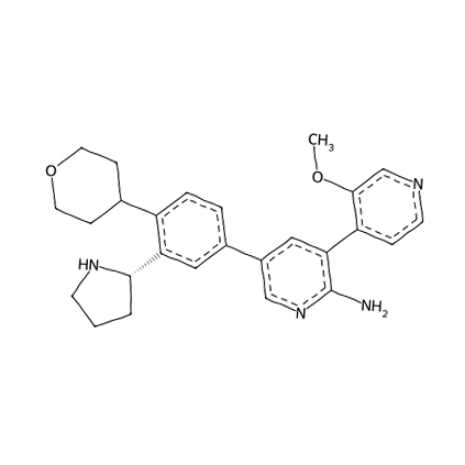 COc1cnccc1-c1cc(-c2ccc(C3CCOCC3)c([C@@H]3CCCN3)c2)cnc1N